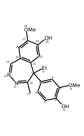 CCC1(c2ccc(O)c(OC)c2)C(C)=NN=Cc2cc(OC)c(O)cc21